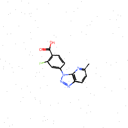 Cc1ccc2nnn(-c3ccc(C(=O)O)c(F)c3)c2n1